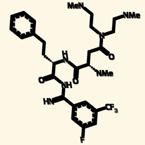 CNCCN(CCNC)C(=O)C[C@H](NC)C(=O)N[C@@H](CCc1ccccc1)C(=O)NC(=N)c1cc(F)cc(C(F)(F)F)c1